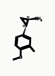 COc1ccc([C@@H]2C[C@H]2N)cc1C